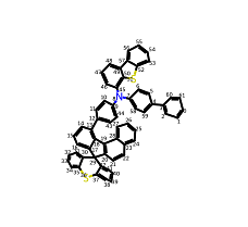 c1ccc(-c2ccc(N(c3ccc(-c4cccc5c4-c4c(ccc6ccccc46)C54c5ccccc5Sc5ccccc54)cc3)c3cccc4c3sc3ccccc34)cc2)cc1